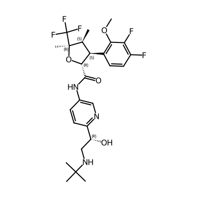 COc1c([C@H]2[C@H](C(=O)Nc3ccc([C@H](O)CNC(C)(C)C)nc3)O[C@@](C)(C(F)(F)F)[C@H]2C)ccc(F)c1F